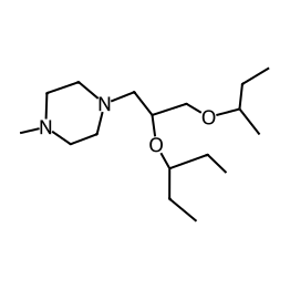 CCC(C)OCC(CN1CCN(C)CC1)OC(CC)CC